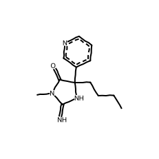 CCCCC1(c2cccnc2)NC(=N)N(C)C1=O